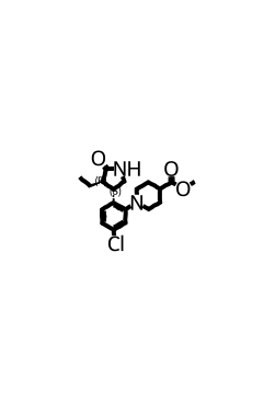 CC[C@H]1C(=O)NC[C@@H]1c1ccc(Cl)cc1N1CCC(C(=O)OC)CC1